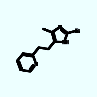 CCc1nc(C)c(CCc2ccccn2)[nH]1